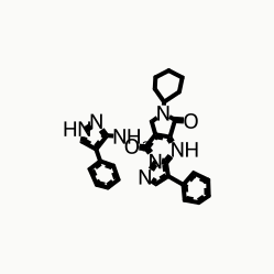 Nc1n[nH]cc1-c1ccccc1.O=C1c2[nH]c3c(-c4ccccc4)cnn3c(=O)c2CN1C1CCCCC1